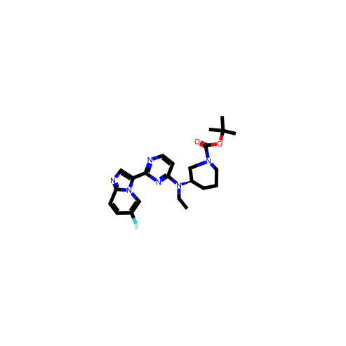 CCN(c1ccnc(-c2cnc3ccc(F)cn23)n1)[C@@H]1CCCN(C(=O)OC(C)(C)C)C1